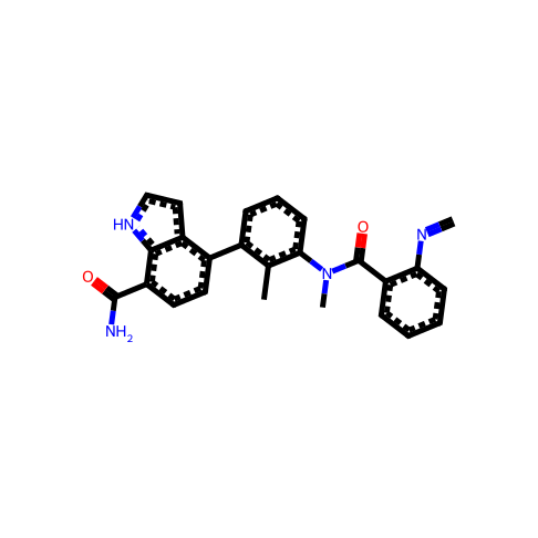 C=Nc1ccccc1C(=O)N(C)c1cccc(-c2ccc(C(N)=O)c3[nH]ccc23)c1C